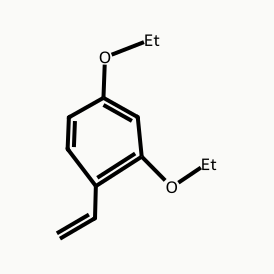 C=Cc1ccc(OCC)cc1OCC